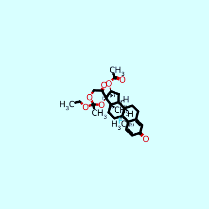 CCOC1(C)OCC(=O)[C@@]2(O1)[C@H](OC(C)=O)C[C@H]1[C@@H]3CCC4=CC(=O)C=C[C@]4(C)[C@@]3(F)CC[C@@]12C